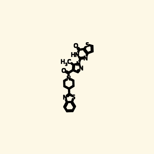 Cc1c(C(=O)N2CCC(c3nc4ccccc4s3)CC2)cnn1-c1nc2ccsc2c(=O)[nH]1